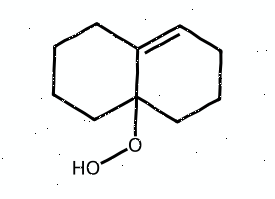 OOC12CCCC=C1CCCC2